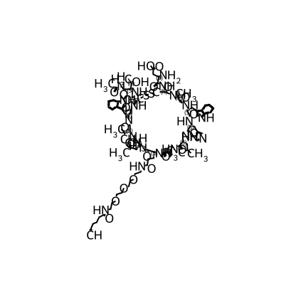 C#CCCCC(=O)NCCOCCOCCOCCNC(=O)CC[C@@H]1NC(=O)CNC(=O)[C@H](CC(C)C)NC(=O)[C@H](Cc2cnc[nH]2)NC(=O)[C@H](Cc2c[nH]c3ccccc23)NC(=O)[C@H](C)NC(=O)[C@@H](NC(=O)[C@@H](N)CC(=O)O)CSSC[C@@H](C(=O)N[C@H](C(=O)NC(C)=O)[C@@H](C)O)NC(=O)[C@H](Cc2c[nH]c3ccccc23)NC(=O)[C@H](C(C)C)NC(=O)[C@H](CC(C)C)NC1=O